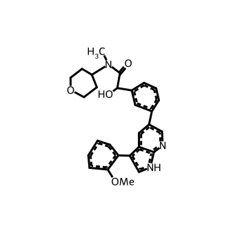 COc1ccccc1-c1c[nH]c2ncc(-c3cccc(C(O)C(=O)N(C)C4CCOCC4)c3)cc12